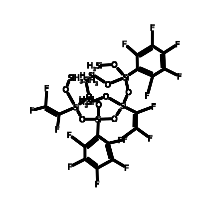 FC(F)=C(F)[Si](O[SiH3])(O[SiH3])O[Si](O[SiH3])(O[Si](O[SiH3])(O[Si](O[SiH3])(O[SiH3])c1c(F)c(F)c(F)c(F)c1F)C(F)=C(F)F)c1c(F)c(F)c(F)c(F)c1F